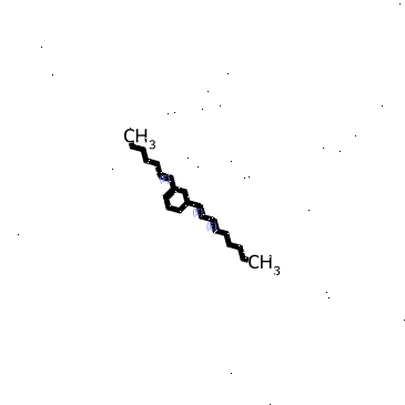 CCCCC/C=C/C=C/C1CCC=C(/C=C/CCCCC)C1